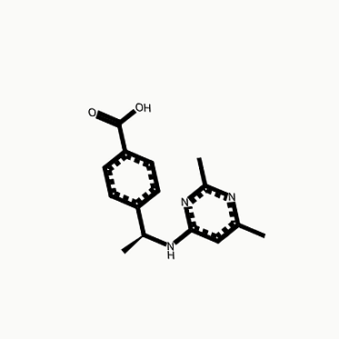 Cc1cc(N[C@@H](C)c2ccc(C(=O)O)cc2)nc(C)n1